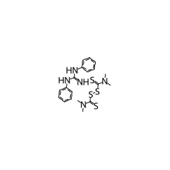 CN(C)C(=S)SSC(=S)N(C)C.N=C(Nc1ccccc1)Nc1ccccc1